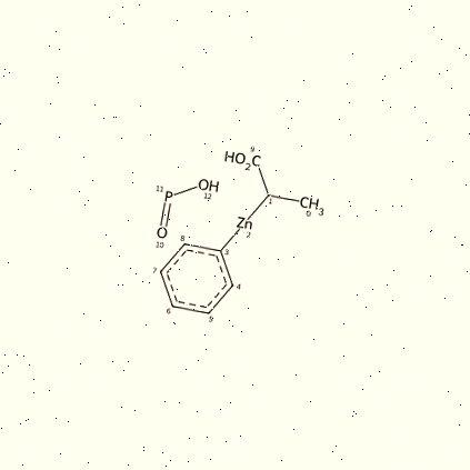 C[CH]([Zn][c]1ccccc1)C(=O)O.O=PO